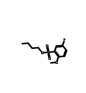 CCCCOS(=O)(=O)c1cc(F)ccc1OC